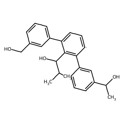 CC(O)c1cccc(-c2[c]ccc(-c3cccc(CO)c3)c2C(O)C(C)C)c1